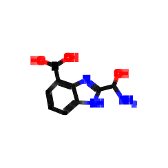 NC(O)c1nc2c(B(O)O)cccc2[nH]1